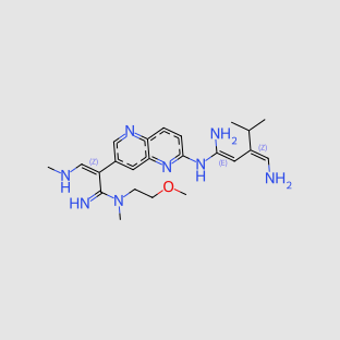 CN/C=C(\C(=N)N(C)CCOC)c1cnc2ccc(N/C(N)=C/C(=C\N)C(C)C)nc2c1